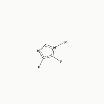 CC(C)n1cnc(F)c1F